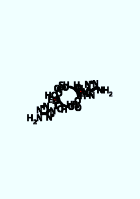 CC[C@@]1(O)O[P@](=O)(S)OC[C@H]2O[C@@H](n3cnc4c(N)ncnc43)[C@H](O[PH](=O)OC[C@H]3O[C@@H](n4cnc5c(N)ncnc54)C[C@@H]31)[C@@H]2O